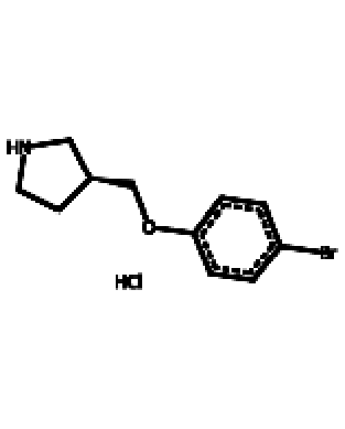 Brc1ccc(OC[C@H]2CCNC2)cc1.Cl